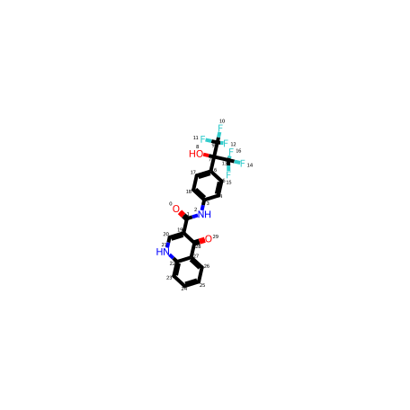 O=C(Nc1ccc(C(O)(C(F)(F)F)C(F)(F)F)cc1)c1c[nH]c2ccccc2c1=O